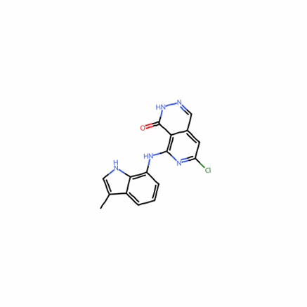 Cc1c[nH]c2c(Nc3nc(Cl)cc4cn[nH]c(=O)c34)cccc12